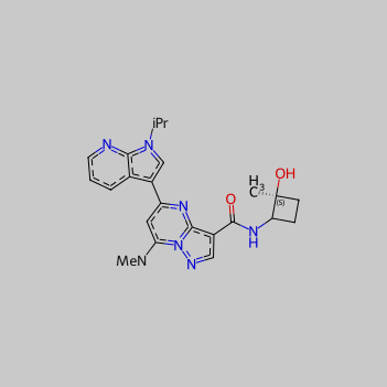 CNc1cc(-c2cn(C(C)C)c3ncccc23)nc2c(C(=O)NC3CC[C@]3(C)O)cnn12